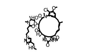 CNCc1cn(CCCC(=O)N(C)[C@@H](C)C(O)O[C@H]2CC(=O)N(C)c3cc(cc(OC)c3Cl)C/C(C)=C/C=C/[C@@H](OC)[C@@]3(O)C[C@H](OC(=O)N3)[C@@H](C)[C@@H]3O[C@@]23C)nn1